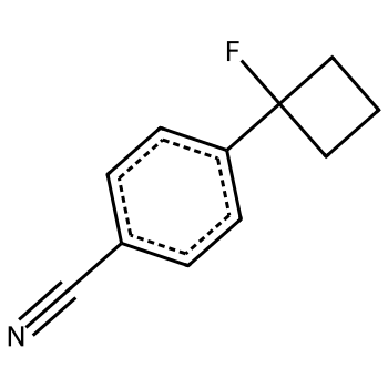 N#Cc1ccc(C2(F)CCC2)cc1